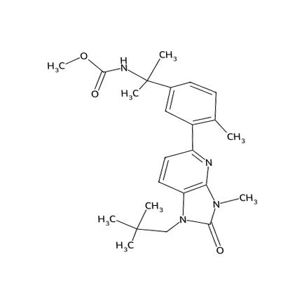 COC(=O)NC(C)(C)c1ccc(C)c(-c2ccc3c(n2)n(C)c(=O)n3CC(C)(C)C)c1